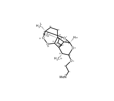 CNCCOC1O[C@@H]2O[C@]3(C)CCC45C(OO3)C(CC[C@H]4C)(C25)[C@H]1C